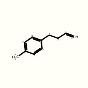 [CH]=CCCc1ccc(C)cc1